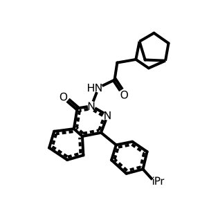 CC(C)c1ccc(-c2nn(NC(=O)CC3CC4CCC3C4)c(=O)c3ccccc23)cc1